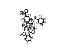 COc1ccccc1C(=O)CC(O)(c1cn(Cc2ccccc2)c2cc([N+](=O)[O-])ccc12)C(F)(F)F